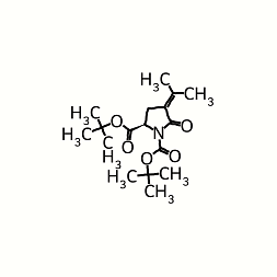 CC(C)=C1C[C@H](C(=O)OC(C)(C)C)N(C(=O)OC(C)(C)C)C1=O